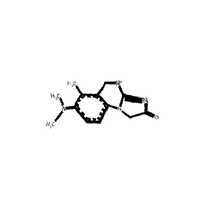 Cc1c(N(C)C)ccc2c1CNC1=NC(=O)CN12